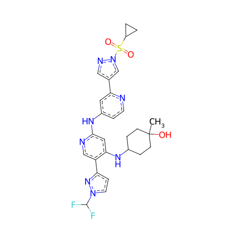 CC1(O)CCC(Nc2cc(Nc3ccnc(-c4cnn(S(=O)(=O)C5CC5)c4)c3)ncc2-c2ccn(C(F)F)n2)CC1